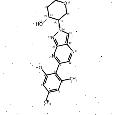 Cc1cc(C(F)(F)F)cc(O)c1-c1cnc2cn([C@@H]3COCC[C@H]3O)nc2n1